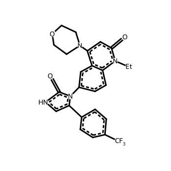 CCn1c(=O)cc(N2CCOCC2)c2cc(-n3c(-c4ccc(C(F)(F)F)cc4)c[nH]c3=O)ccc21